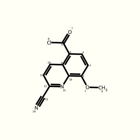 COc1ccc(C(=O)Cl)c2ccc(C#N)nc12